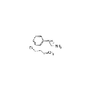 C=CCCCl.NC[SiH2]c1ccccc1